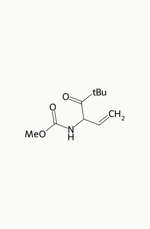 C=CC(NC(=O)OC)C(=O)C(C)(C)C